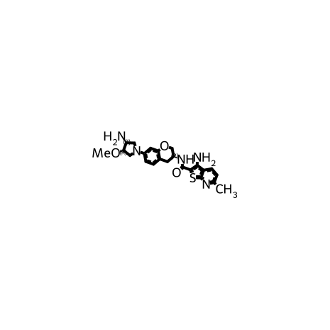 CO[C@@H]1CN(c2ccc3c(c2)OC[C@H](NC(=O)c2sc4nc(C)ccc4c2N)C3)C[C@H]1N